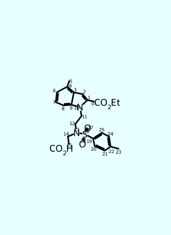 CCOC(=O)c1cc2c(C)cccc2n1CCN(CC(=O)O)S(=O)(=O)c1ccc(C)cc1